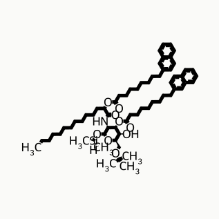 CCCCCCCCCCCCC(OC(=O)CCCCCCCCc1ccc2ccccc2c1)C(=O)N[C@H]1C(O[SiH](C)C)O[C@H](COC(C)(C)C)[C@@H](O)[C@@H]1OC(=O)CCCCCCCCc1ccc2ccccc2c1